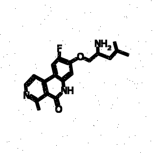 Cc1nccc2c1c(=O)[nH]c1cc(OCC(N)CC(C)C)c(F)cc12